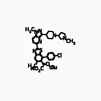 Cc1cc2nc(-c3ccc4c(n3)c(C3CCN(C5CCN(C)C5)CC3)nn4C)sc2c(-c2ccc(Cl)cc2)c1[C@H](OC(C)(C)C)C(=O)O